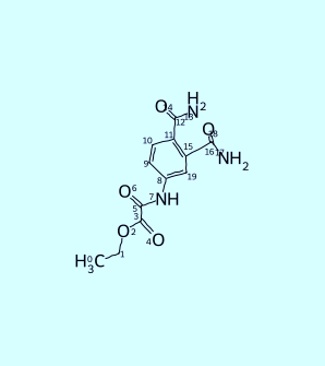 CCOC(=O)C(=O)Nc1ccc(C(N)=O)c(C(N)=O)c1